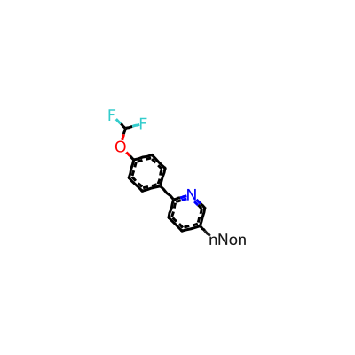 CCCCCCCCCc1ccc(-c2ccc(OC(F)F)cc2)nc1